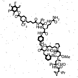 CC[C@H](C)[C@@H]([C@@H](CC(=O)N1CCC[C@H]1[C@H](OC)[C@@H](C)C(=O)N[C@@H](Cc1ccccn1)C(=O)NCc1ccc(NC(=O)[C@H](CCCNC(N)=O)NC(=O)[C@@H](NC(=O)CCCN2CCC(C(=O)Oc3c(F)c(F)c(F)c(F)c3F)CC2C(F)(F)F)C(C)C)cc1)OC)N(C)C[C@](C=O)(NC(=O)[C@H](C(C)C)N(C)C)C(C)C